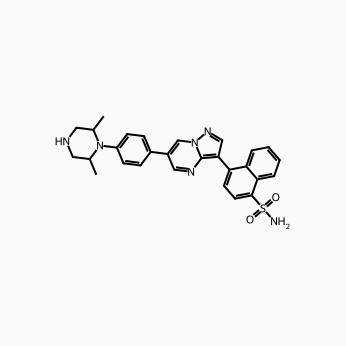 CC1CNCC(C)N1c1ccc(-c2cnc3c(-c4ccc(S(N)(=O)=O)c5ccccc45)cnn3c2)cc1